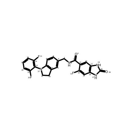 O=C(NCc1ccc2c(c1)CCN2c1c(F)cccc1F)c1cc2[nH]c(=O)[nH]c2cc1F